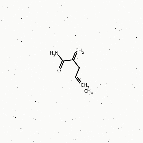 C.C=CCC(=C)C(N)=O